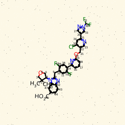 CC1(C)COCC1n1c(Cc2cc(F)c(-c3cccc(OCc4cnc(-c5cnn(C(F)F)c5)cc4Cl)n3)cc2F)nc2ccc(C(=O)O)cc21